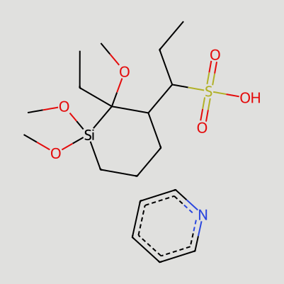 CCC(C1CCC[Si](OC)(OC)C1(CC)OC)S(=O)(=O)O.c1ccncc1